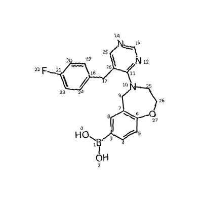 OB(O)c1ccc2c(c1)CN(c1ncncc1Cc1ccc(F)cc1)CCO2